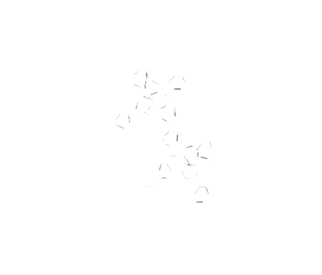 N#Cc1ccc(-n2c3ccccc3c3cc(-c4ccc(-n5c6ccccc6c6ccccc65)c(-c5nc(-c6ccccc6)cc(-c6ccccc6)n5)c4)ccc32)c(-c2nc(-c3ccccc3)cc(-c3ccccc3)n2)c1